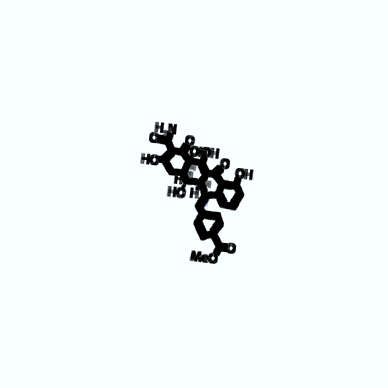 COC(=O)c1ccc(/C=C2\c3cccc(O)c3C(=O)C3=C(O)[C@]4(O)C(=O)C(C(N)=O)=C(O)C[C@@H]4[C@@H](O)[C@@H]32)cc1